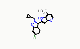 O=C(O)c1ccnc2cc(C3C4CCC(Cl)=CC4=NN3CC3CC3)[nH]c12